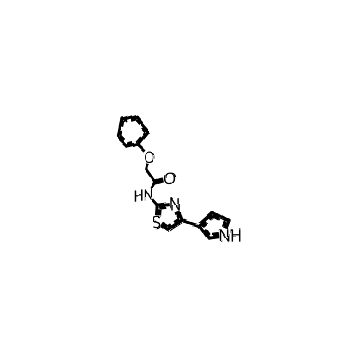 O=C(COc1ccccc1)Nc1nc(-c2cc[nH]c2)cs1